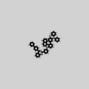 c1ccc(-c2ccc(-c3nc(-c4cccc(-n5c6cccc(-c7ccc8c(c7)N(c7ccccc7)c7ccccc7O8)c6c6c7ccccc7ccc65)c4)nc4ccccc34)cc2)cc1